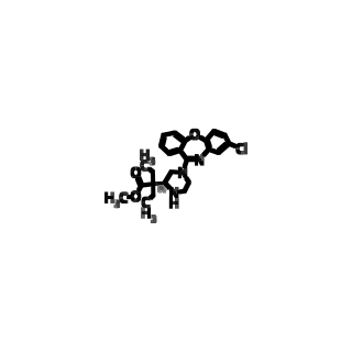 CCC(CC)(C(=O)OC)[C@H]1CN(C2=Nc3cc(Cl)ccc3Oc3ccccc32)CCN1